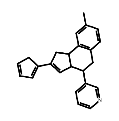 Cc1ccc2c(c1)C1CC(C3=CC=CC3)=CC1C(c1cccnc1)C2